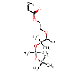 C=CC(=O)OCCOC(CC)[Si](C)(C)O[Si](C)(C)O[Si](C)(C)C